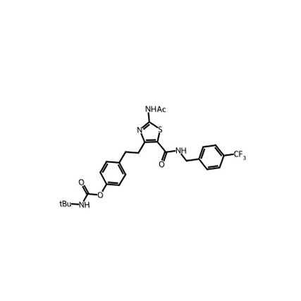 CC(=O)Nc1nc(CCc2ccc(OC(=O)NC(C)(C)C)cc2)c(C(=O)NCc2ccc(C(F)(F)F)cc2)s1